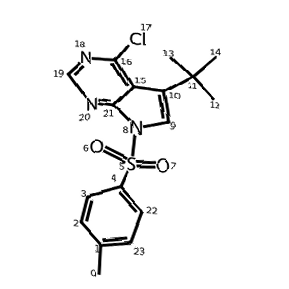 Cc1ccc(S(=O)(=O)n2cc(C(C)(C)C)c3c(Cl)ncnc32)cc1